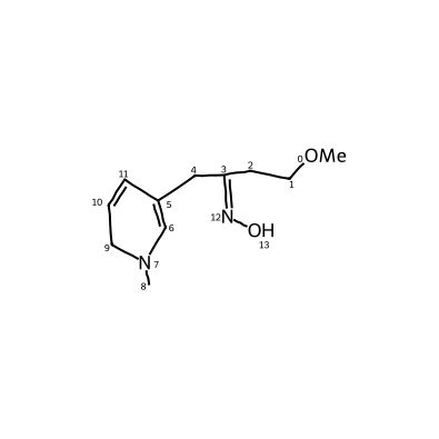 COCCC(CC1=CN(C)CC=C1)=NO